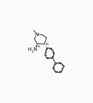 CN1CC[C@H](c2ccc(-c3ccccc3)cc2)[C@@H](N)C1